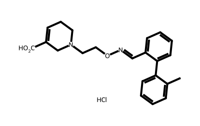 Cc1ccccc1-c1ccccc1C=NOCCN1CCC=C(C(=O)O)C1.Cl